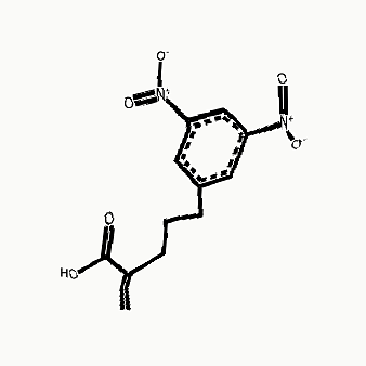 C=C(CCCc1cc([N+](=O)[O-])cc([N+](=O)[O-])c1)C(=O)O